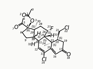 CC(=O)O[C@]1(C(C)=O)CC[C@H]2[C@@H]3C=C(Cl)C4=CC(=O)C[C@H](CCl)[C@]4(C)[C@H]3[C@@H](F)C[C@@]21C